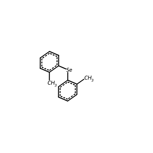 Cc1ccccc1[Se]c1ccccc1C